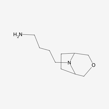 NCCCCN1C2CCC1COC2